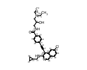 CCN(CC)CC(O)CNC(=O)c1ccc(C#Cc2c(NCC3CC3)ncc3ccc(Cl)cc23)cc1